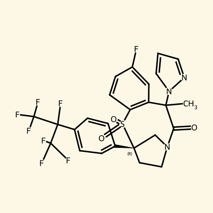 CC1(n2cccn2)C(=O)N2CC[C@@](c3ccc(C(F)(C(F)(F)F)C(F)(F)F)cc3)(C2)S(=O)(=O)c2ccc(F)cc21